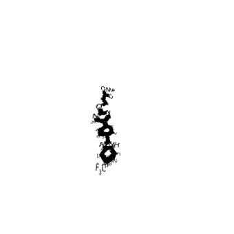 COC(=O)CCOc1ncc(-c2ccc(-c3nc4cc(C(F)(F)F)ccc4[nH]3)cc2)cn1